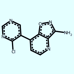 Nc1noc2c(-c3cncnc3Cl)ccnc12